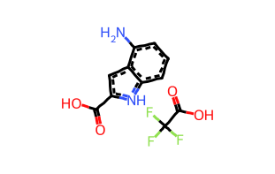 Nc1cccc2[nH]c(C(=O)O)cc12.O=C(O)C(F)(F)F